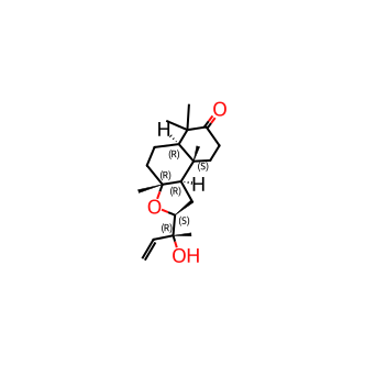 C=C[C@@](C)(O)[C@@H]1C[C@@H]2[C@@]3(C)CCC(=O)C(C)(C)[C@@H]3CC[C@@]2(C)O1